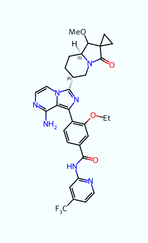 CCOc1cc(C(=O)Nc2cc(C(F)(F)F)ccn2)ccc1-c1nc([C@@H]2CC[C@H]3C(OC)C4(CC4)C(=O)N3C2)n2ccnc(N)c12